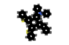 c1ccc(-n2c3ccccc3c3cc4c(cc32)-c2cc3c(cc2-c2cc5c(cc2-c2cc6sc7ccccc7c6cc2-4)sc2ccccc25)-c2ccccc2C3)cc1